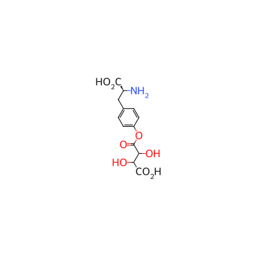 N[C@@H](Cc1ccc(OC(=O)C(O)C(O)C(=O)O)cc1)C(=O)O